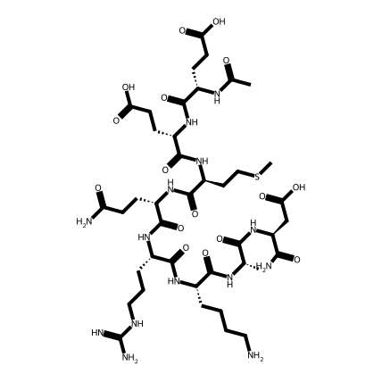 CSCC[C@H](NC(=O)[C@H](CCC(=O)O)NC(=O)[C@H](CCC(=O)O)NC(C)=O)C(=O)N[C@@H](CCC(N)=O)C(=O)N[C@@H](CCCNC(=N)N)C(=O)N[C@@H](CCCCN)C(=O)N[C@@H](C)C(=O)N[C@@H](CC(=O)O)C(N)=O